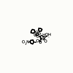 C[C@@H](O)[C@H]1C(=O)N2C(C(=O)OCc3ccc([N+](=O)[O-])cc3)=C(OP(=O)(Oc3ccccc3)Oc3ccccc3)[C@H](C)[C@@H]12